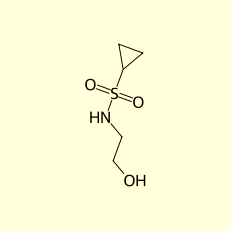 O=S(=O)(NCCO)C1CC1